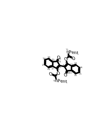 CCCCCC(=O)OC1=C(C2=C(OC(=O)CCCCC)c3ccccc3C2=O)C(=O)c2ccccc21